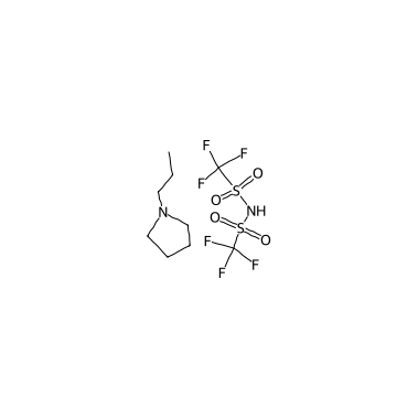 CCCN1CCCC1.O=S(=O)(NS(=O)(=O)C(F)(F)F)C(F)(F)F